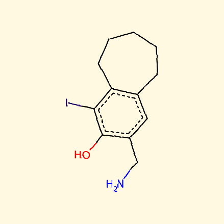 NCc1cc2c(c(I)c1O)CCCCC2